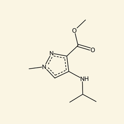 COC(=O)c1nn(C)cc1NC(C)C